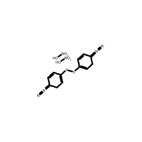 O=[N+]([O-])O.O=[N+]([O-])O.[N-]=[N+]=C1C=CC(SSC2=CCC(=[N+]=[N-])C=C2)=CC1